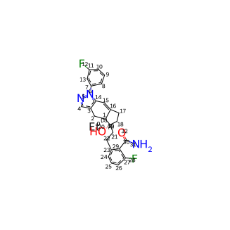 CC[C@]12Cc3cnn(-c4cccc(F)c4)c3C=C1CC[C@@]2(O)CCc1cccc(F)c1C(N)=O